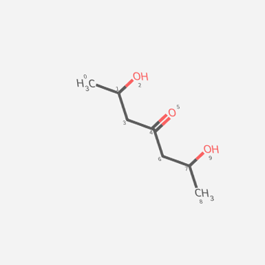 CC(O)CC(=O)CC(C)O